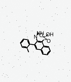 Cc1ccccc1-c1cc2ccccc2c(S(=O)(=O)O)c1N=N